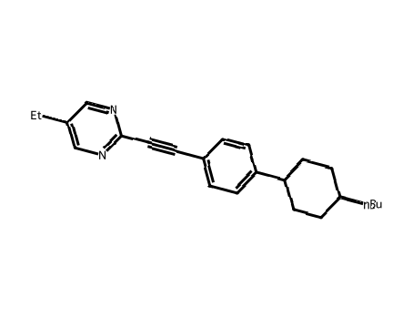 CCCCC1CCC(c2ccc(C#Cc3ncc(CC)cn3)cc2)CC1